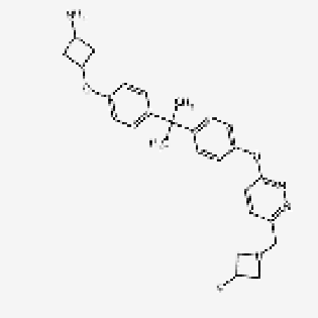 CC(C)(c1ccc(Oc2ccc(CN3CC(F)C3)nn2)cc1)c1ccc(OC2CC(N)C2)cc1